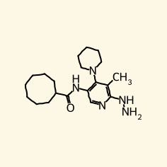 Cc1c(NN)ncc(NC(=O)C2CCCCCCC2)c1N1CCCCC1